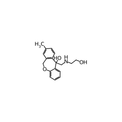 Cc1ccc2c(c1)COc1ccccc1C2(O)CNCCO